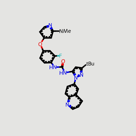 CNc1cc(Oc2ccc(NC(=O)Nc3cc(C(C)(C)C)nn3-c3ccc4ncccc4c3)c(F)c2)ccn1